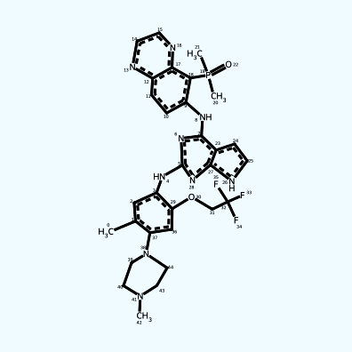 Cc1cc(Nc2nc(Nc3ccc4nccnc4c3P(C)(C)=O)c3cc[nH]c3n2)c(OCC(F)(F)F)cc1N1CCN(C)CC1